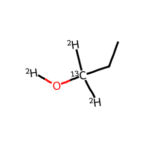 [2H]O[13C]([2H])([2H])CC